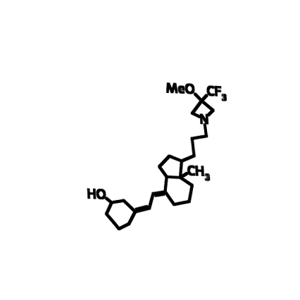 COC1(C(F)(F)F)CN(CCCC2CCC3/C(=C/C=C4/CCCC(O)C4)CCCC23C)C1